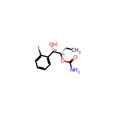 CC[C@H](OC(N)=O)[C@@H](O)c1ccccc1I